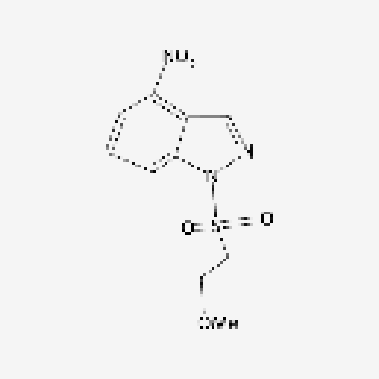 COCCS(=O)(=O)n1ncc2c([N+](=O)[O-])cccc21